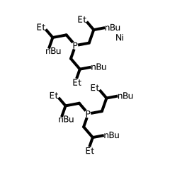 CCCCC(CC)CP(CC(CC)CCCC)CC(CC)CCCC.CCCCC(CC)CP(CC(CC)CCCC)CC(CC)CCCC.[Ni]